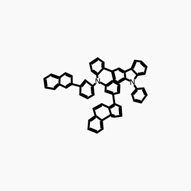 c1ccc(-n2c3ccccc3c3cc(-c4ccccc4N(c4cccc(-c5ccc6ccccc6c5)c4)c4cccc(-c5cccc6c5ccc5ccccc56)c4)ccc32)cc1